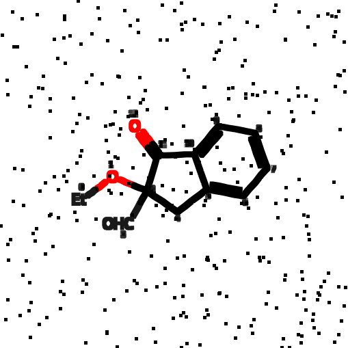 CCOC1(C=O)Cc2ccccc2C1=O